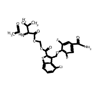 CC(=O)NC(C(=O)OCOC(=O)c1sc2cccc(Cl)c2c1COc1c(F)cc(C(N)=O)cc1F)C(C)C